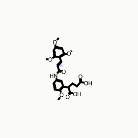 COc1cc(OC)c(/C=C/C(=O)Nc2ccc(OC)c(C(CCC(=O)O)C(=O)O)c2)c(OC)c1